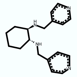 c1cc(CN[C@@H]2CCCC[C@H]2NCc2ccncc2)ccn1